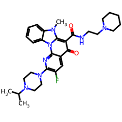 CC(C)N1CCN(c2nc3c(cc2F)c(=O)c(C(=O)NCCN2CCCCC2)c2n(C)c4ccccc4n32)CC1